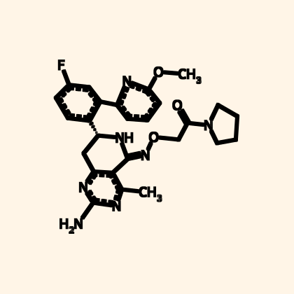 COc1cccc(-c2cc(F)ccc2[C@H]2Cc3nc(N)nc(C)c3/C(=N/OCC(=O)N3CCCC3)N2)n1